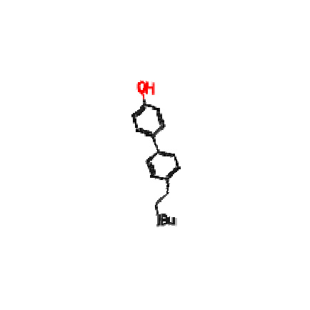 CCC(C)CCc1ccc(-c2ccc(O)cc2)cc1